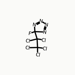 FC1(C(Cl)(Cl)C(Cl)(Cl)Cl)N=NN=N1